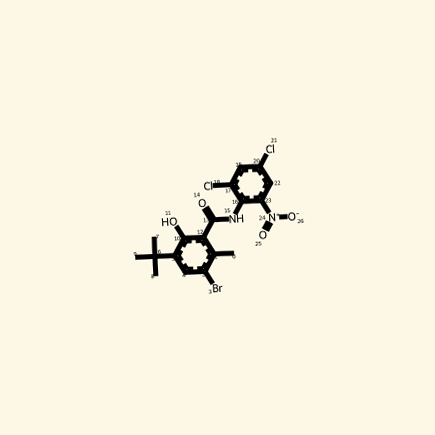 Cc1c(Br)cc(C(C)(C)C)c(O)c1C(=O)Nc1c(Cl)cc(Cl)cc1[N+](=O)[O-]